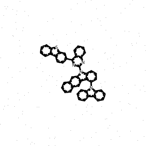 c1ccc2cc3c(cc2c1)c1c(-n2c4ccccc4c4ccccc42)cccc1n3-c1nc(-c2ccc3c(c2)sc2ccccc23)c2ccccc2n1